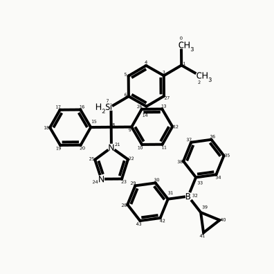 CC(C)c1ccc([SiH2]C(c2ccccc2)(c2ccccc2)n2ccnc2)cc1.c1ccc(B(c2ccccc2)C2CC2)cc1